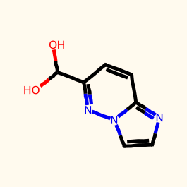 OC(O)c1ccc2nccn2n1